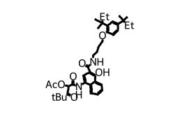 CCC(C)(C)c1ccc(OCCCCNC(=O)c2cc(NC(=O)C(OC(C)=O)C(=O)C(C)(C)C)c3ccccc3c2O)c(C(C)(C)CC)c1